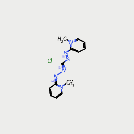 Cn1cccc/c1=N/N=C/N=N/c1cccc[n+]1C.[Cl-]